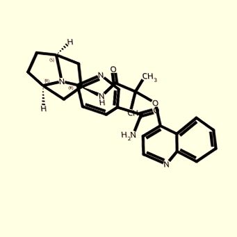 CC(C)(Oc1ccnc2ccccc12)C(=O)N[C@H]1C[C@H]2CC[C@@H](C1)N2c1ccc(C(N)=O)cn1